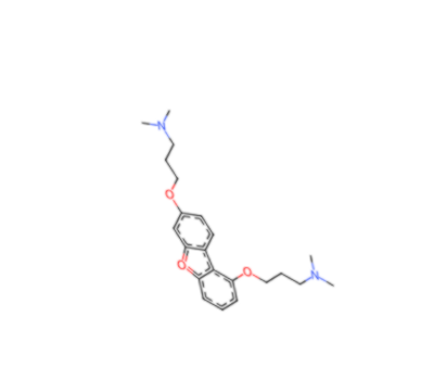 CN(C)CCCOc1ccc2c(c1)oc1cccc(OCCCN(C)C)c12